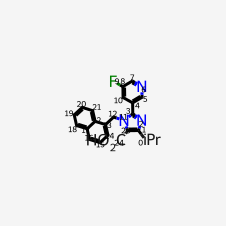 CC(C)c1nc(-c2cncc(F)c2)n(Cc2cccc3ccccc23)c1C(=O)O